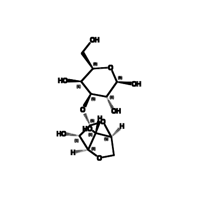 OC[C@H]1O[C@@H](O)[C@H](O)[C@@H](O[C@@H]2O[C@H]3CO[C@@H]([C@@H]2O)[C@@H]3O)[C@H]1O